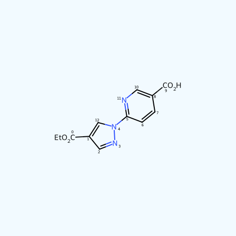 CCOC(=O)c1cnn(-c2ccc(C(=O)O)cn2)c1